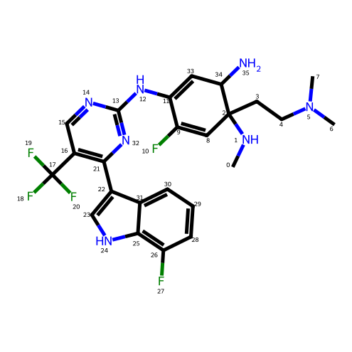 CNC1(CCN(C)C)C=C(F)C(Nc2ncc(C(F)(F)F)c(-c3c[nH]c4c(F)cccc34)n2)=CC1N